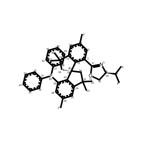 Cc1cc(C2=N[C@@H](C(C)C)CO2)c2c(c1)C(C)(C)C[C@@]21CC(C)(C)c2cc(C)cc(P(c3ccccc3)c3ccccc3)c21